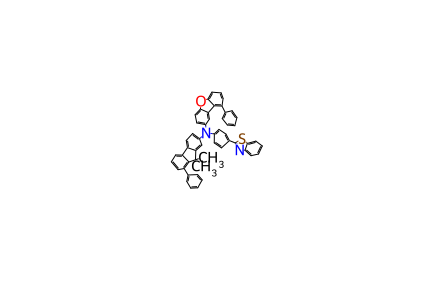 CC1(C)c2cc(N(c3ccc(-c4nc5ccccc5s4)cc3)c3ccc4oc5cccc(-c6ccccc6)c5c4c3)ccc2-c2cccc(-c3ccccc3)c21